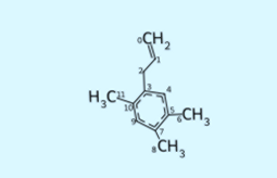 C=CCc1cc(C)c(C)cc1C